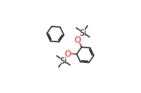 C1=CCCC=C1.C[Si](C)(C)OC1C=CC=CC1O[Si](C)(C)C